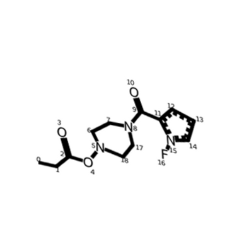 CCC(=O)ON1CCN(C(=O)c2cccn2F)CC1